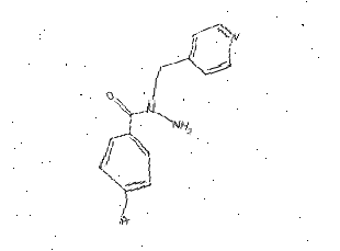 CC(C)c1ccc(C(=O)N(N)Cc2ccncc2)cc1